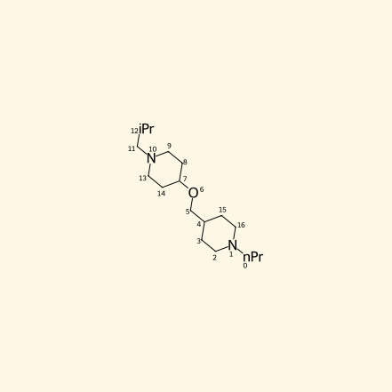 CCCN1CCC(COC2CCN(CC(C)C)CC2)CC1